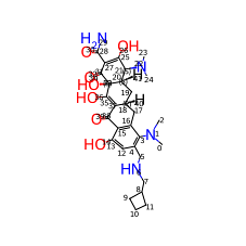 CN(C)c1c(CNCC2CCC2)cc(O)c2c1C[C@H]1C[C@H]3[C@H](N(C)C)C(O)=C(C(N)=O)C(=O)[C@@]3(O)C(O)=C1C2=O